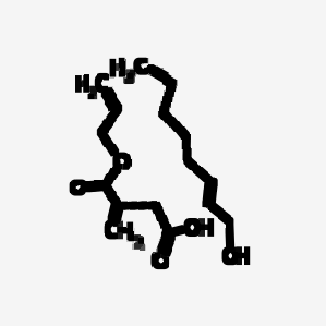 C=CCOC(=O)C(=C)CC(=O)O.CCCCCC=CCO